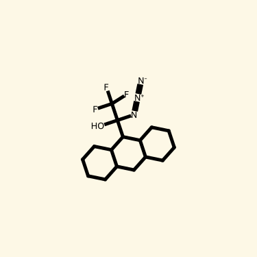 [N-]=[N+]=NC(O)(C1C2CCCCC2CC2CCCCC21)C(F)(F)F